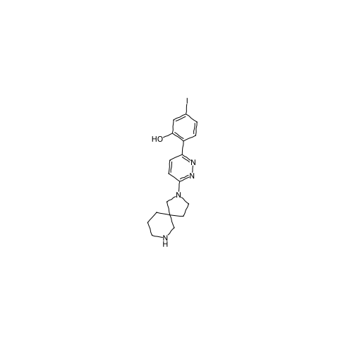 Oc1cc(I)ccc1-c1ccc(N2CCC3(CCCNC3)C2)nn1